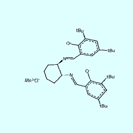 CC(C)(C)c1cc(C=N[C@@H]2CCCC[C@H]2N=Cc2cc(C(C)(C)C)cc(C(C)(C)C)c2[O-])c([O-])c(C(C)(C)C)c1.[Cl-].[Mn+3]